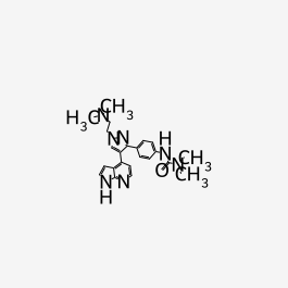 CN(C)CCn1cc(-c2ccnc3[nH]ccc23)c(-c2ccc(NC(=O)N(C)C)cc2)n1